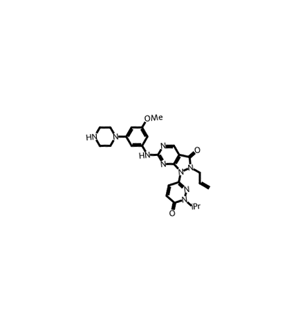 C=CCn1c(=O)c2cnc(Nc3cc(OC)cc(N4CCNCC4)c3)nc2n1-c1ccc(=O)n(C(C)C)n1